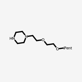 CCCC(C)OCCOCCN1CCNCC1